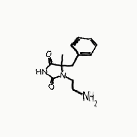 CC1(Cc2ccccc2)C(=O)NC(=O)N1CCN